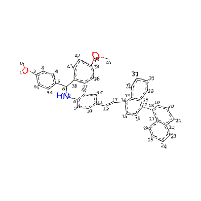 COc1ccc(C(Nc2ccc(C=Cc3ccc(-c4cccc5ccccc45)c4ccccc34)cc2)c2ccc(OC)cc2)cc1